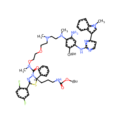 COc1cc(N(C)CCN(C)CCOCCON(C)C(=O)N2N=C(c3cc(F)ccc3F)S[C@@]2(CCCNC(=O)OC(C)(C)C)c2ccccc2)c(N)cc1Nc1nccc(-c2cn(C)c3ccccc23)n1